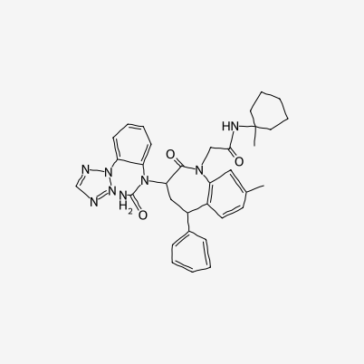 Cc1ccc2c(c1)N(CC(=O)NC1(C)CCCCC1)C(=O)C(N(C(N)=O)c1ccccc1-n1ncnn1)CC2c1ccccc1